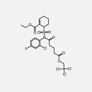 CCOC(=O)C1=CCCCC1S(=O)(=O)N(C(=O)CCCC(=O)OCC(Cl)(Cl)Cl)c1ccc(F)cc1Cl